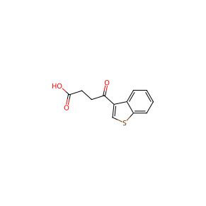 O=C(O)CCC(=O)c1csc2ccccc12